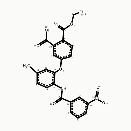 CCOC(=O)c1ccc(Oc2cc(C)ccc2NC(=O)c2cccc([N+](=O)[O-])c2)cc1C(=O)O